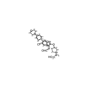 C[C@@H](C(=O)O)N1CCC(Oc2nc3nc(-c4ccc(N5CCOCC5)cc4)c(Cl)cc3n2OC=O)CC1